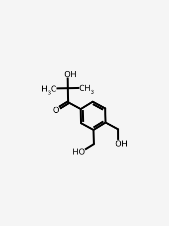 CC(C)(O)C(=O)c1ccc(CO)c(CO)c1